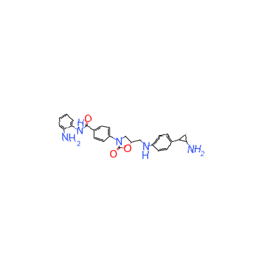 Nc1ccccc1NC(=O)c1ccc(N2CC(CNc3ccc(C4CC4N)cc3)OC2=O)cc1